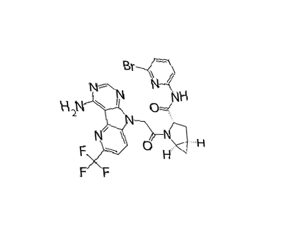 Nc1ncnc2c1c1nc(C(F)(F)F)ccc1n2CC(=O)N1[C@@H]2C[C@@H]2C[C@H]1C(=O)Nc1cccc(Br)n1